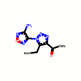 COCc1c(C(=O)OC)nnn1-c1nonc1N